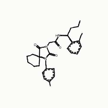 CCCC(NC(=O)CN1C(=O)N(c2ccc(C)cc2)C2(CCCCC2)C1=O)c1ccccc1C